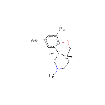 COc1cc(C)c2c(c1)[C@H]1CN(C)CC[C@H]1CO2